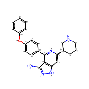 Nc1n[nH]c2cc([C@@H]3CCCNC3)nc(-c3ccc(Oc4ccccc4)cc3)c12